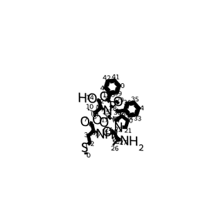 CSCC[C@H](N)C(=O)O[C@H](C)[C@@H](C(=O)O)N(C(=O)[C@@H]1CCCN1C(=O)[C@H](C)N)P(=O)(Cc1ccccc1)Cc1ccccc1